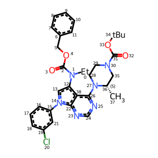 CCN(C(=O)OCc1ccccc1)c1cn(-c2cccc(Cl)c2)c2ncnc(N3CCN(C(=O)OC(C)(C)C)C[C@@H]3C)c12